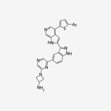 CC(=O)c1ccc(-c2cncc3[nH]c(-c4n[nH]c5ccc(-c6cncc(N7CC(N)C7)n6)cc45)cc23)s1